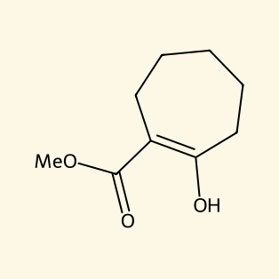 COC(=O)C1=C(O)CCCCC1